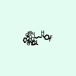 Cc1ccc(S(=O)(=O)N2CCC[C@H]2C(=O)OC(C)(C)C)c(O[C@@H](C)CCCNC2CCC(F)(F)CC2)n1